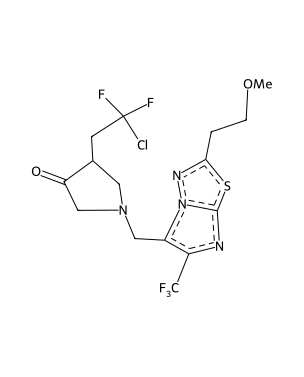 COCCc1nn2c(CN3CC(=O)C(CC(F)(F)Cl)C3)c(C(F)(F)F)nc2s1